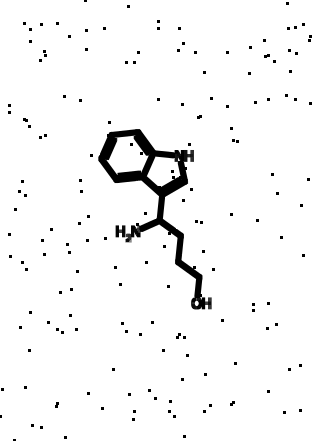 NC(CCCO)c1c[nH]c2ccccc12